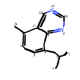 Cc1ccc(C(C)C)c2ncncc12